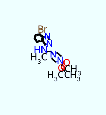 CC(CN1CCN(C(=O)OC(C)(C)C)CC1)Nc1ncnc2c(Br)cccc12